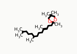 C/C(=C\CCC1(C)OCC(C)(C)CO1)CCCC(C)CCCC(C)C